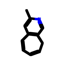 Cc1cc2c(cn1)CC=CC=C2